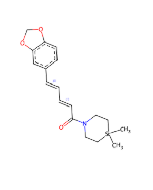 C[Si]1(C)CCN(C(=O)/C=C/C=C/c2ccc3c(c2)OCO3)CC1